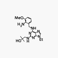 CCn1cnc2c(NCc3cccc(OC)c3N)nc(NCC(C)(C)O)nc21